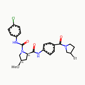 CCC1CCN(C(=O)c2ccc(NC(=O)[C@H]3C[C@@H](OC)CN3C(=O)Nc3ccc(Cl)cc3)cc2)C1